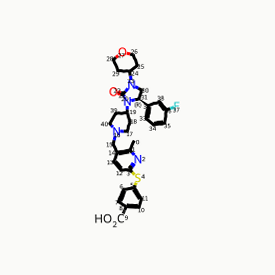 Cc1nc(Sc2ccc(C(=O)O)cc2)ccc1CN1CCC(N2C(=O)N(C3CCOCC3)C[C@H]2c2cccc(F)c2)CC1